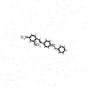 O=[N+]([O-])c1ccc(C=Cc2ccc(OCc3ccccc3)cc2)c([N+](=O)[O-])c1